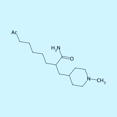 CC(=O)CCCCCC(CC1CCN(C)CC1)C(N)=O